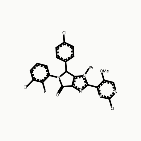 COc1cnc(Cl)nc1-c1nc2c(n1C(C)C)C(c1ccc(Cl)cc1)N(c1cccc(Cl)c1F)C2=O